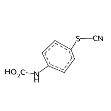 N#CSc1ccc(NC(=O)O)cc1